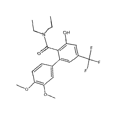 CCN(CC)C(=O)c1c(O)cc(C(F)(F)F)cc1-c1ccc(OC)c(OC)c1